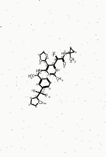 Cc1nc(N[C@H](C)c2cccc(C(F)(F)C3CCCO3)c2)c(C2OCCO2)c(C(F)C(=O)NC2(C)CC2)n1